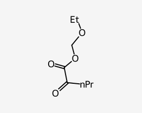 CCCC(=O)C(=O)OCOCC